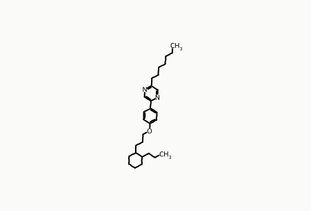 CCCCCCCc1cnc(-c2ccc(OCCCC3CCCCC3CCC)cc2)cn1